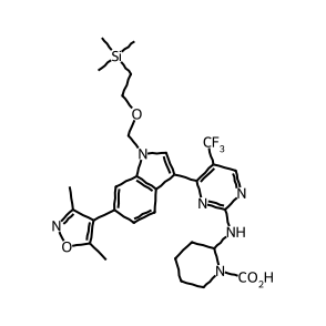 Cc1noc(C)c1-c1ccc2c(-c3nc(NC4CCCCN4C(=O)O)ncc3C(F)(F)F)cn(COCC[Si](C)(C)C)c2c1